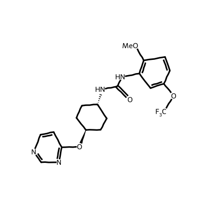 COc1ccc(OC(F)(F)F)cc1NC(=O)N[C@H]1CC[C@H](Oc2ccncn2)CC1